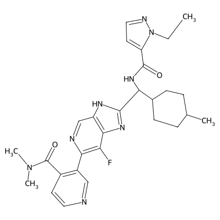 CCn1nccc1C(=O)NC(c1nc2c(F)c(-c3cnccc3C(=O)N(C)C)ncc2[nH]1)C1CCC(C)CC1